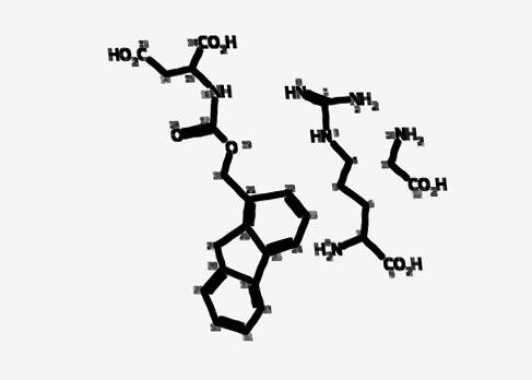 N=C(N)NCCCC(N)C(=O)O.NCC(=O)O.O=C(O)CC(NC(=O)OCc1cccc2c1Cc1ccccc1-2)C(=O)O